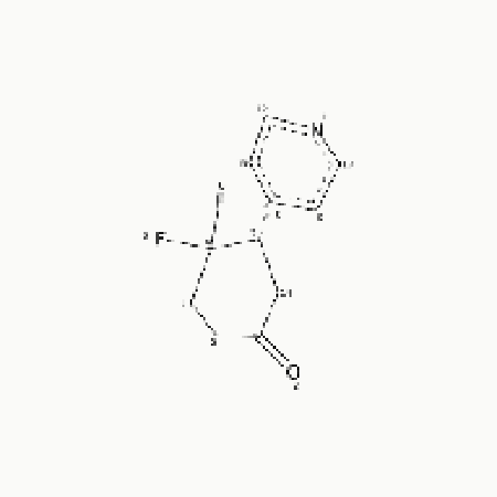 O=C1CCC(F)(F)[C@H](c2ccncc2)C1